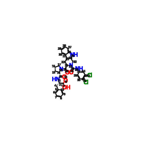 O=C(O)[C@H](Cc1ccccc1)NC(=O)[C@@H]1CCCN1C(=O)[C@H]1Cc2c([nH]c3ccccc23)CN1C(=O)Nc1ccc(Cl)c(Cl)c1